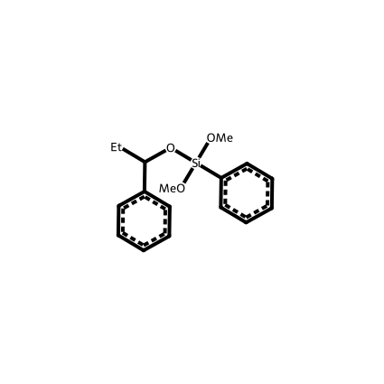 CCC(O[Si](OC)(OC)c1ccccc1)c1ccccc1